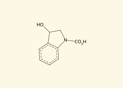 O=C(O)N1CC(O)c2ccccc21